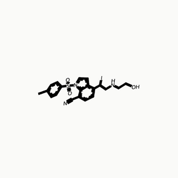 Cc1ccc(S(=O)(=O)n2ccc3c(C(I)CNCCO)ccc(C#N)c32)cc1